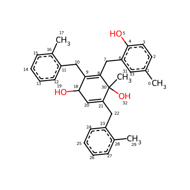 Cc1ccc(O)c(CC2=C(Cc3ccccc3C)C(O)C=C(Cc3ccccc3C)C2(C)O)c1